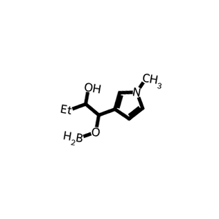 BOC(c1ccn(C)c1)C(O)CC